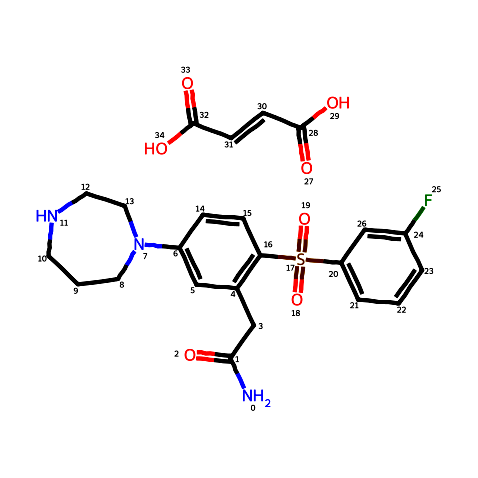 NC(=O)Cc1cc(N2CCCNCC2)ccc1S(=O)(=O)c1cccc(F)c1.O=C(O)C=CC(=O)O